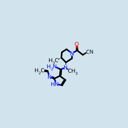 C=C/N=C1/NC=C/C1=C(/N)N(C)[C@H]1CN(C(=O)CC#N)CC[C@H]1C